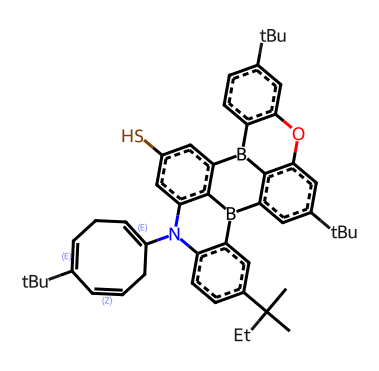 CCC(C)(C)c1ccc2c(c1)B1c3cc(C(C)(C)C)cc4c3B(c3ccc(C(C)(C)C)cc3O4)c3cc(S)cc(c31)N2/C1=C/C/C=C(C(C)(C)C)\C=C/C1